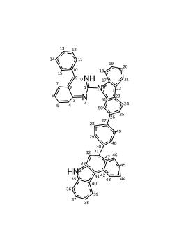 N=C(/N=C1/C=CC=C/C1=C\c1ccccc1)n1c2ccccc2c2ccc(-c3ccc(-c4cc5[nH]c6ccccc6c5c5ccccc45)cc3)cc21